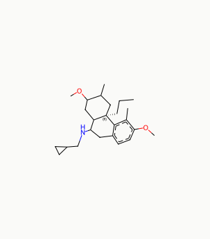 CCC[C@@]12CC(C)C(OC)CC1C(NCC1CC1)Cc1ccc(OC)c(C)c12